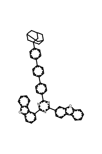 c1ccc2c(c1)oc1cc(-c3nc(-c4ccc(-c5ccc(-c6ccc(C78CC9CC(CC(C9)C7)C8)cc6)cc5)cc4)nc(-c4cccc5oc6ccccc6c45)n3)ccc12